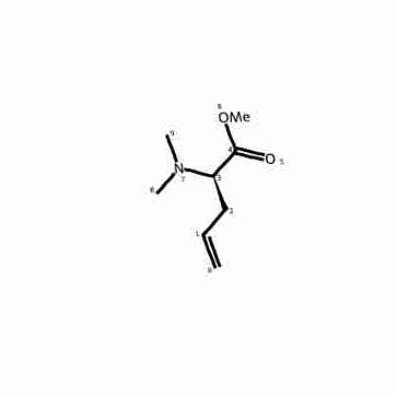 C=CC[C@H](C(=O)OC)N(C)C